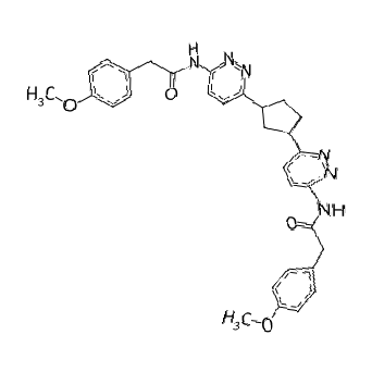 COc1ccc(CC(=O)Nc2ccc(C3CCC(c4ccc(NC(=O)Cc5ccc(OC)cc5)nn4)C3)nn2)cc1